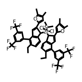 CCc1ccc2c(c1-c1cc(C(F)(F)F)cc(C(F)(F)F)c1)C=C(c1cc(C)c(C)o1)[CH]2[Zr]([Cl])([Cl])([CH]1C(c2cc(C)c(C)o2)=Cc2c1ccc(CC)c2-c1cc(C(F)(F)F)cc(C(F)(F)F)c1)=[Si](C)C